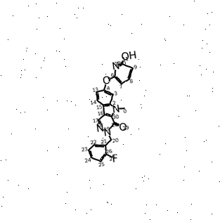 Cn1c2cc(Oc3cccc(O)n3)ccc2c2cnn(Cc3ccccc3F)c(=O)c21